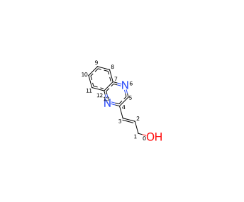 OC/C=C/c1cnc2ccccc2n1